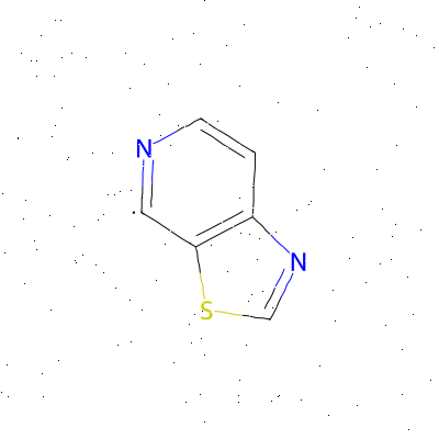 [c]1nccc2ncsc12